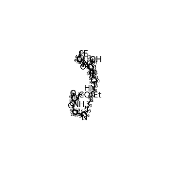 CCOC(=O)Cn1cc(NC(=O)c2cccc(-c3cncc(CCCCCCCCCNCC4CCC(n5cc6cc(NC(=O)c7cccc(C(F)(F)F)n7)c(C(C)(C)O)cc6n5)CC4)c3)c2)ccc1=O